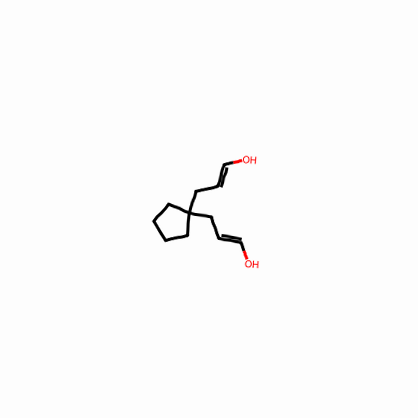 OC=CCC1(CC=CO)CCCC1